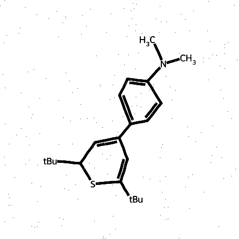 CN(C)c1ccc(C2=CC(C(C)(C)C)SC(C(C)(C)C)=C2)cc1